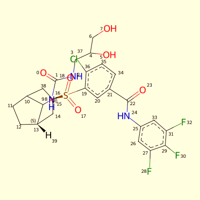 O=C(NCC(O)CO)NC1C2CC[C@H]1C[C@H](S(=O)(=O)c1cc(C(=O)Nc3cc(F)c(F)c(F)c3)ccc1Cl)C2